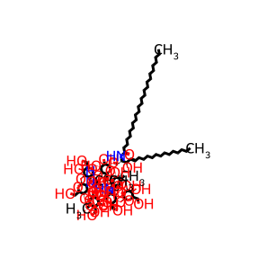 CCCCCCCCCCCCC/C=C/[C@@H](O)[C@H](CO[C@@H]1OC(CO)[C@@H](O[C@@H]2OC(CO)[C@H](O)[C@H](O[C@@H]3OC(CO)[C@@H](O[C@@H]4OC(CO)[C@H](O)[C@H](O[C@@H]5OC(CO)[C@@H](O[C@@H]6OC(CO)[C@H](O)[C@H](O)C6O)[C@H](O[C@H]6OC(C)[C@@H](O)C(O)[C@@H]6O)C5NC(C)=O)C4O)[C@H](O[C@H]4OC(C)[C@@H](O)C(O)[C@@H]4O)C3NC(C)=O)C2O)[C@H](O)C1O)NC(=O)CCCCCCCCCCCCCCCCCCCCCCCCC